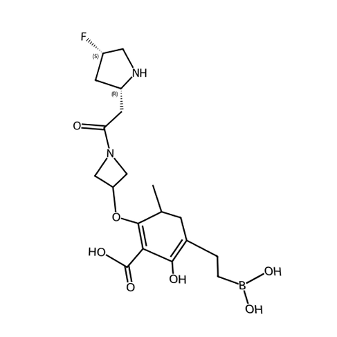 CC1CC(CCB(O)O)=C(O)C(C(=O)O)=C1OC1CN(C(=O)C[C@@H]2C[C@H](F)CN2)C1